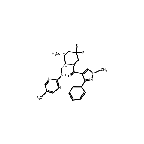 C[C@@H]1CC(F)(F)CN(C(=O)c2cn(C)nc2-c2ccccc2)[C@@H]1CNc1ncc(C(F)(F)F)cn1